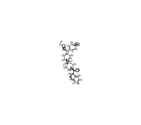 CCON=C(c1ccc(Br)cc1)C1CCN(C2(C)CCN(C(=O)c3csc4ccccc34)CC2)CC1